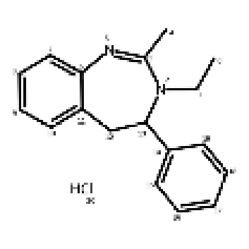 CCN1C(C)=Nc2ccccc2CC1c1ccccc1.Cl